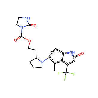 Cc1c(N2CCCC2CCOC(=O)N2CCNC2=O)ccc2[nH]c(=O)cc(C(F)(F)F)c12